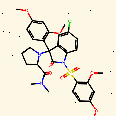 COc1ccc(C2(N3CCCC3C(=O)N(C)C)C(=O)N(S(=O)(=O)c3ccc(OC)cc3OC)c3ccc(Cl)cc32)c(OC)c1